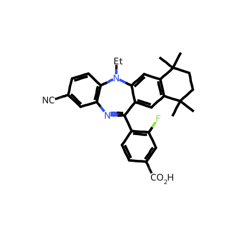 CCN1c2ccc(C#N)cc2N=C(c2ccc(C(=O)O)cc2F)c2cc3c(cc21)C(C)(C)CCC3(C)C